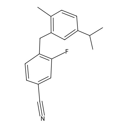 Cc1ccc(C(C)C)cc1Cc1ccc(C#N)cc1F